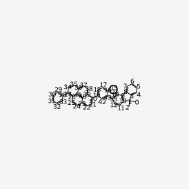 CC1(C)c2ccccc2-c2c1ccc1c2oc2ccc(-c3ccc4ccc5c(-c6ccccc6)ccc6ccc3c4c65)cc21